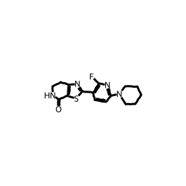 O=C1NCCc2nc(-c3ccc(N4CCCCC4)nc3F)sc21